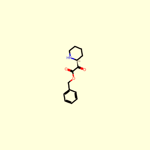 O=C(OCc1ccccc1)C(=O)[C@@H]1CCCCN1